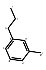 [CH]c1cccc(CCC)c1